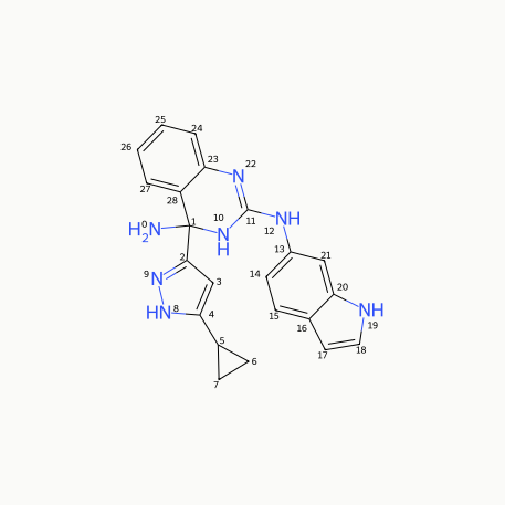 NC1(c2cc(C3CC3)[nH]n2)NC(Nc2ccc3cc[nH]c3c2)=Nc2ccccc21